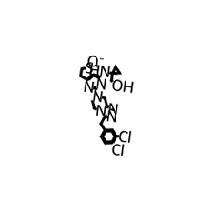 [O-][S+]1CCc2nc(N3CCn4c(Cc5ccc(Cl)c(Cl)c5)nnc4C3)nc(NC3(CO)CC3)c21